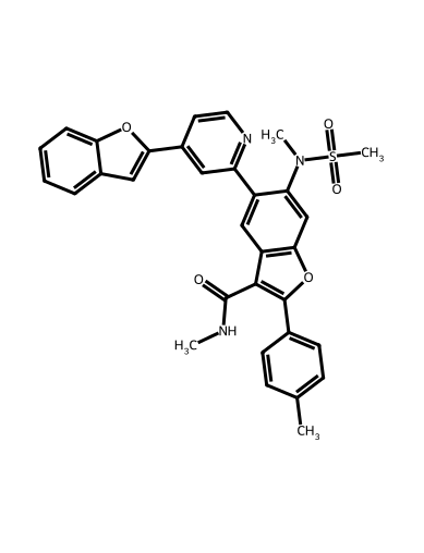 CNC(=O)c1c(-c2ccc(C)cc2)oc2cc(N(C)S(C)(=O)=O)c(-c3cc(-c4cc5ccccc5o4)ccn3)cc12